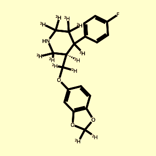 [2H]C1([2H])Oc2ccc(OC([2H])([2H])[C@@]3([2H])C([2H])([2H])NC([2H])([2H])C([2H])([2H])C3([2H])c3ccc(F)cc3)cc2O1